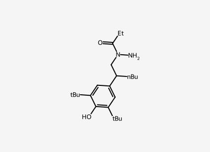 CCCCC(CN(N)C(=O)CC)c1cc(C(C)(C)C)c(O)c(C(C)(C)C)c1